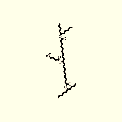 CCCCCC(CCCC)OC(=O)CCCCCCCCC(CCCCCCCCC(=O)OC(CCCC)CCCCC)OC(=O)CCCN(C)C